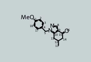 COc1ccc(Cn2ncc3c2CC(C)CC3=O)cc1